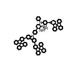 N=C1C(c2ccc(-n3c4ccc(-c5ccc6c(c5)C5(c7ccccc7-c7ccccc75)c5ccccc5-6)cc4c4cc(-c5ccc6c(c5)C5(c7ccccc7-c7ccccc75)c5ccccc5-6)ccc43)cc2)=CC=C(N(c2ccccc2)c2ccc(C3C4C=CC5=C(c6ccccc6C56c5ccccc5-c5ccccc56)C43)cc2)C1NS